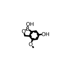 COc1cc(O)cc2c1COB2O